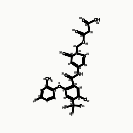 Cc1cc(F)ccc1Oc1cc(C(F)(F)F)c(Cl)cc1C(=O)Nc1cnn(COC(=O)CC(=O)O)c(=O)c1